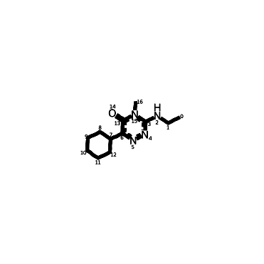 CCNc1nnc(C2CCCCC2)c(=O)n1C